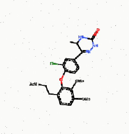 COc1ccc(CCNC(C)=O)c(Oc2ccc(C3=NNC(=O)NC3C)cc2Cl)c1OC